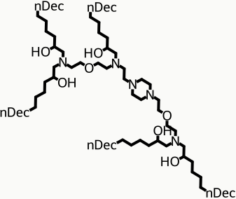 CCCCCCCCCCCCCCC(O)CN(CCOCCN(CC(O)CCCCCCCCCCCCCC)CC(O)CCCCCCCCCCCCCC)CCN1CCN(CCOCCN(CC(O)CCCCCCCCCCCCCC)CC(O)CCCCCCCCCCCCCC)CC1